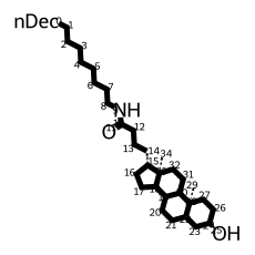 CCCCCCCCCCCCCCCCCCNC(=O)CCC[C@H]1CCC2C3CCC4C[C@H](O)CC[C@]4(C)C3CC[C@@]21C